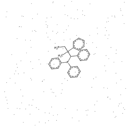 C[Si](CP)(c1ccccc1)C(c1ccccc1)P(c1ccccc1)c1ccccc1